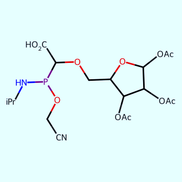 CC(=O)OC1OC(COC(C(=O)O)P(NC(C)C)OCC#N)C(OC(C)=O)C1OC(C)=O